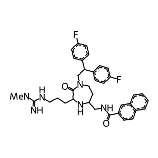 CNC(=N)NCCCC1NC(CNC(=O)c2ccc3ccccc3c2)CCN(CC(c2ccc(F)cc2)c2ccc(F)cc2)C1=O